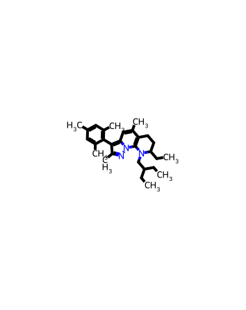 CCC(CC)CN1c2c(c(C)cc3c(-c4c(C)cc(C)cc4C)c(C)nn23)CCC1CC